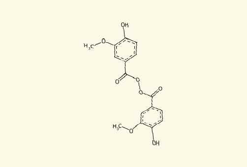 COc1cc(C(=O)OOC(=O)c2ccc(O)c(OC)c2)ccc1O